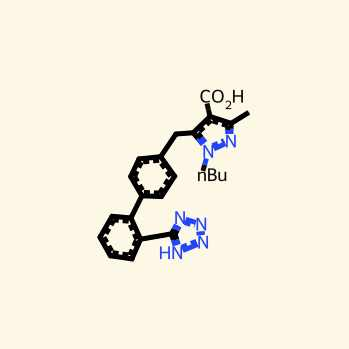 CCCCn1nc(C)c(C(=O)O)c1Cc1ccc(-c2ccccc2-c2nnn[nH]2)cc1